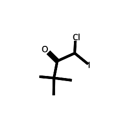 CC(C)(C)C(=O)C(Cl)I